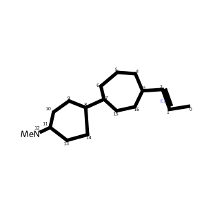 C/C=C/C1CCCC(C2CCC(NC)CC2)CC1